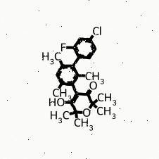 Cc1cc(C)c(-c2ccc(Cl)cc2F)c(C)c1C1=C(O)C(C)(C)OC(C)(C)C1=O